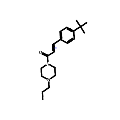 CCCN1CCN(C(=O)/C=C/c2ccc(C(C)(C)C)cc2)CC1